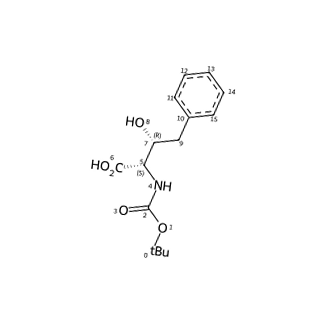 CC(C)(C)OC(=O)N[C@H](C(=O)O)[C@H](O)Cc1ccccc1